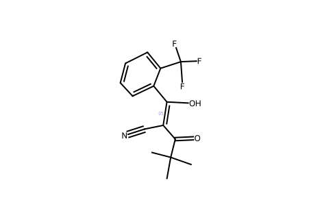 CC(C)(C)C(=O)/C(C#N)=C(\O)c1ccccc1C(F)(F)F